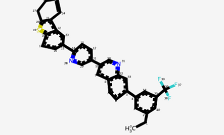 CCc1cc(-c2ccc3cc(-c4ccc(-c5ccc6sc7c(c6c5)C=CCC7)nc4)cnc3c2)cc(C(F)(F)F)c1